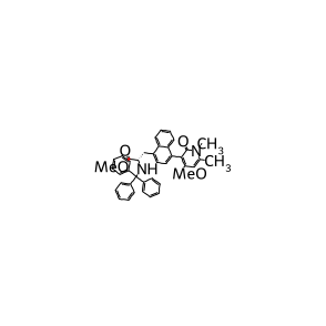 COC(=O)[C@H](Cc1ccc(-c2c(OC)cc(C)n(C)c2=O)c2ccccc12)NC(c1ccccc1)(c1ccccc1)c1ccccc1